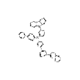 c1ccc(-c2ccc(N(c3ccc(-c4cccc(-c5ccc6ccccc6c5)c4)cc3)c3cccc(-n4c5ccccc5c5ccccc54)c3)cc2)cc1